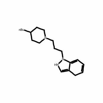 CCCCC1CCN(CCCN2NC=C3CC=CC=C32)CC1